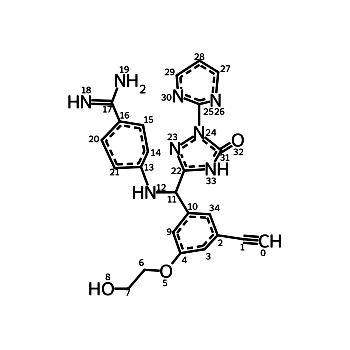 C#Cc1cc(OCCO)cc(C(Nc2ccc(C(=N)N)cc2)c2nn(-c3ncccn3)c(=O)[nH]2)c1